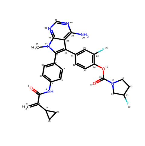 C=C(C(=O)Nc1ccc(-c2c(-c3ccc(OC(=O)N4CCC(F)C4)c(F)c3)c3c(N)ncnc3n2C)cc1)C1CC1